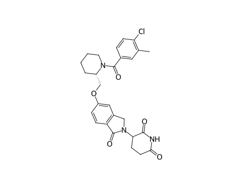 Cc1cc(C(=O)N2CCCC[C@H]2COc2ccc3c(c2)CN(C2CCC(=O)NC2=O)C3=O)ccc1Cl